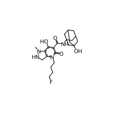 CN1NCc2c1c(O)c(C(=O)NC13CC4CC(CC(O)(C4)C1)C3)c(=O)n2CCCCF